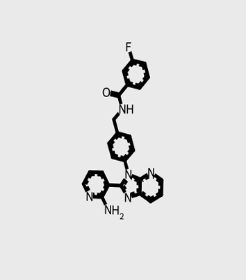 Nc1ncccc1-c1nc2cccnc2n1-c1ccc(CNC(=O)c2cccc(F)c2)cc1